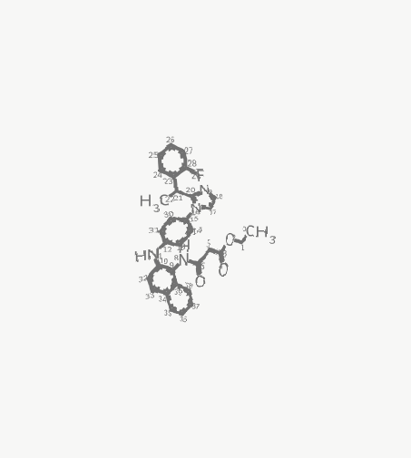 CCOC(=O)CC(=O)Nc1c(Nc2ccc(-n3ccnc3C(C)c3ccccc3F)cc2)ccc2ccccc12